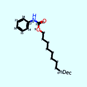 CCCCCCCCCCCCCCCCCCOC(=O)Nc1ccccc1